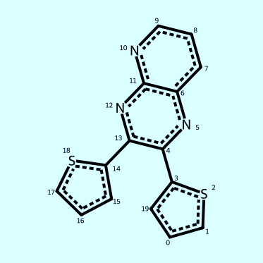 c1csc(-c2nc3cccnc3nc2-c2cccs2)c1